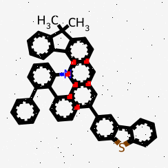 CC1(C)c2ccccc2-c2c(N(c3ccc(-c4ccc5sc6ccccc6c5c4)cc3)c3cccc(-c4ccccc4)c3-c3ccccc3-c3ccccc3)cccc21